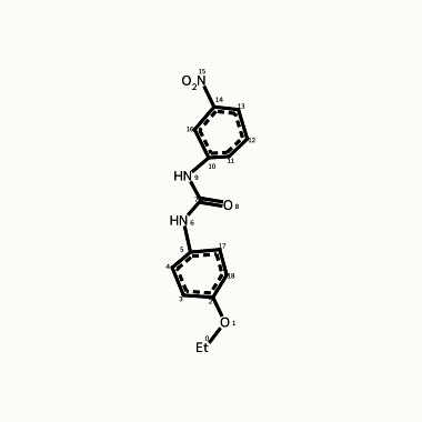 CCOc1ccc(NC(=O)Nc2cccc([N+](=O)[O-])c2)cc1